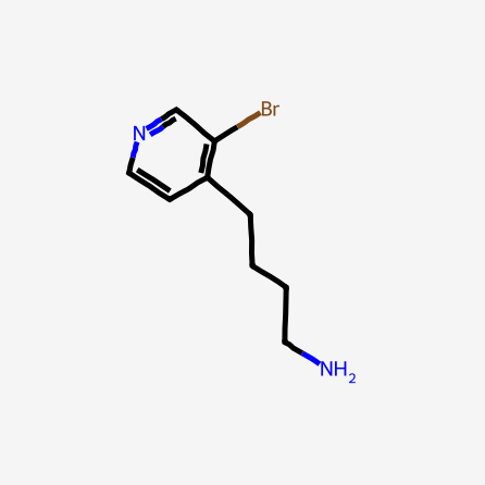 NCCCCc1ccncc1Br